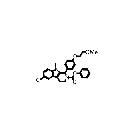 COCCOc1ccc(C2c3[nH]c4ccc(Cl)cc4c3CCN2C(=O)Oc2ccccc2)cc1